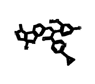 COc1cc(F)ccc1N(Cc1ccc2c(c1)nc(Br)c1cnn(C)c12)C(=O)c1ccc(C2CC2)nc1